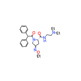 CCO/N=C1\C[C@@H](C(=O)NCCN(CC)CC)N(C(=O)C(c2ccccc2)c2ccccc2)C1